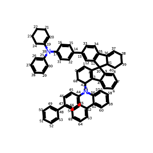 C1=CC2=C(c3ccccc3C23c2cc(-c4ccc(N(C5=CCCCC5)c5ccccc5)cc4)ccc2C2=CCCCC23)C(N(c2ccc(-c3ccccc3)cc2)c2ccccc2-c2ccccc2)C1